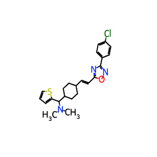 CN(C)C(c1cccs1)C1CCC(C=Cc2nc(-c3ccc(Cl)cc3)no2)CC1